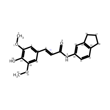 COc1cc(/C=C/C(=O)Nc2ccc3c(c2)CCC3)cc(OC)c1O